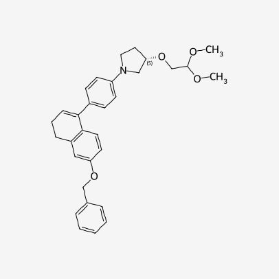 COC(CO[C@H]1CCN(c2ccc(C3=CCCc4cc(OCc5ccccc5)ccc43)cc2)C1)OC